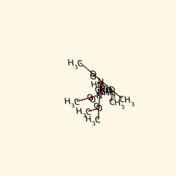 CCCCCCCCCCCOC(=O)CCCCCN(CCCCCCCC(=O)OC(CCCCCCCC)CCCCCCCC)CCNC(=O)CC(C(=O)NCCN(CCCCCCCC(=O)OC(CCCCCCCC)CCCCCCCC)CCCCCC(=O)OCCCCCCCCCCC)N(C)C